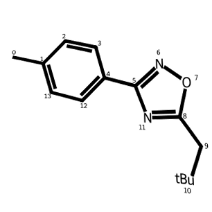 Cc1ccc(-c2noc(CC(C)(C)C)n2)cc1